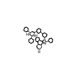 C1=Cc2c(c3nc(-c4ccccc4)n(-c4cccc(-c5cccc(C6=CC(c7ccccc7)NC(c7ccccc7)N6)c5)c4)c3c3ccccc23)CN1